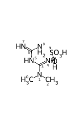 CN(C)C(=N)NC(=N)N.O=S(=O)(O)O